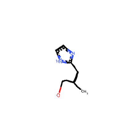 CC(C[O])Cc1ncc[nH]1